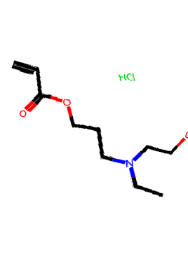 C=CC(=O)OCCCN(CC)CCO.Cl